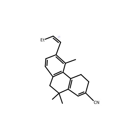 CC/C=C\c1ccc2c(c1C)C1=C(C=C(C#N)CC1)C(C)(C)C2